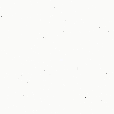 CC/C(C=O)=C\C(C)CC